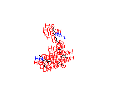 CC(=O)NC(C(O)CC(=O)C(=O)O)C(O)C(O)C(O)CO.C[C@@H]1O[C@@H](O[C@H]2[C@H](O[C@@H]([C@H](O)[C@@H](O)C=O)[C@H](O)CO)O[C@H](CO)[C@H](O)[C@@H]2O)[C@@H](O)[C@H](O)[C@@H]1O.NC(C(O)CC(=O)C(=O)O)C(O)C(O)C(O)CO